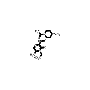 Cc1cnc(NC[C@H]2C[C@H](C)CCN2C(=O)C(F)(F)F)c(=O)n1CC(=O)O